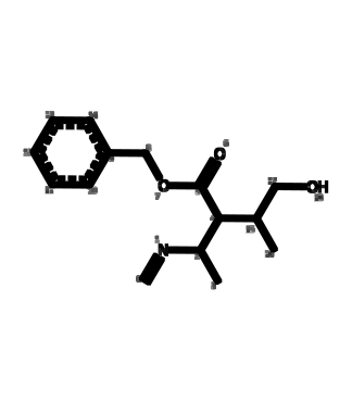 C=NC(C)C(C(=O)OCc1ccccc1)C(C)CO